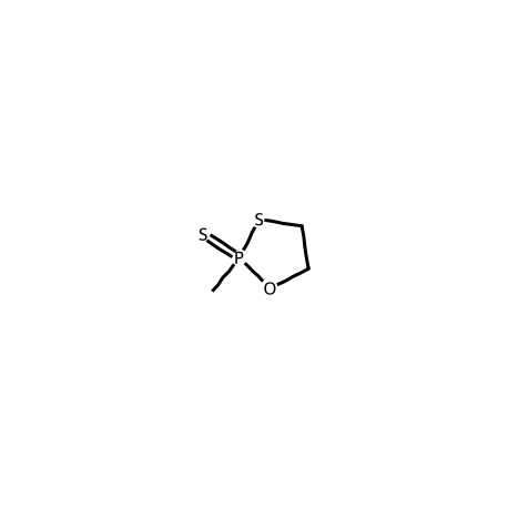 CP1(=S)OCCS1